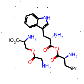 CC(C)C[C@H](N)C(=O)OC(=O)[C@@H](N)Cc1c[nH]c2ccccc12.NCC(=O)OC[C@H](N)C(=O)O